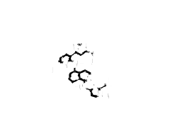 CNc1cc(-c2cccnc2Nc2c(C)ccc3c(Nc4ccnc(C(C)C)n4)nccc23)ncn1